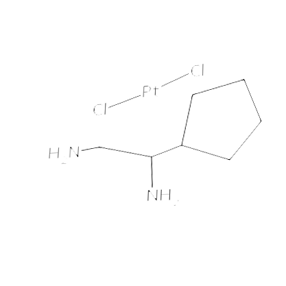 NCC(N)C1CCCC1.[Cl][Pt][Cl]